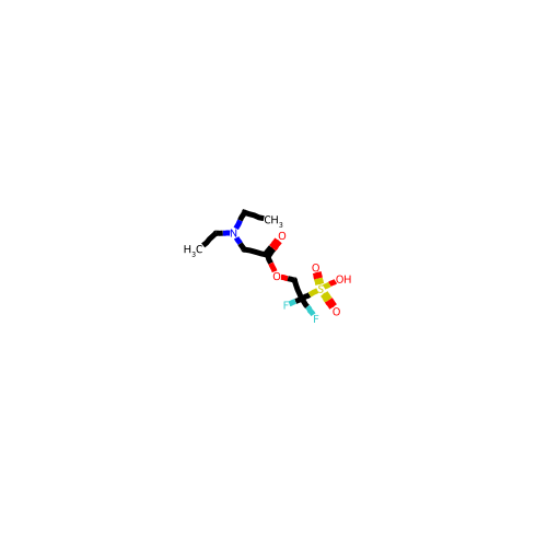 CCN(CC)CC(=O)OCC(F)(F)S(=O)(=O)O